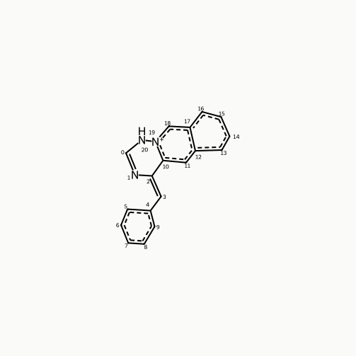 C1=NC(=Cc2ccccc2)c2cc3ccccc3c[n+]2N1